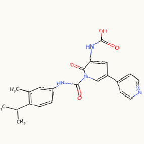 Cc1cc(NC(=O)n2cc(-c3ccncc3)cc(NC(=O)O)c2=O)ccc1C(C)C